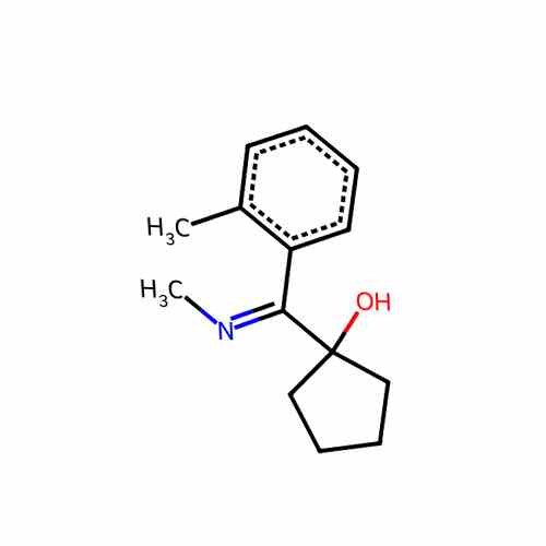 CN=C(c1ccccc1C)C1(O)CCCC1